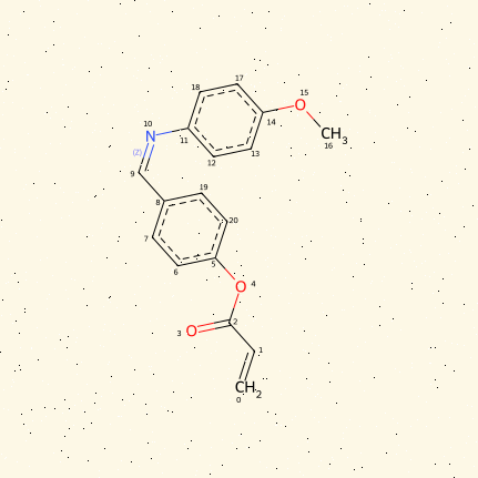 C=CC(=O)Oc1ccc(/C=N\c2ccc(OC)cc2)cc1